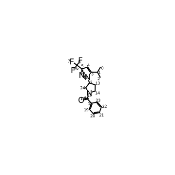 CC(C)c1cc(C(F)(F)F)nn1C1CCN(C(=O)c2ccccc2)C1